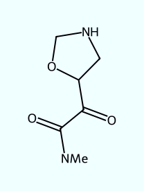 CNC(=O)C(=O)C1CNCO1